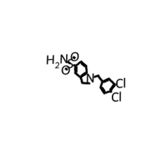 NS(=O)(=O)c1ccc2c(c1)CCN2Cc1ccc(Cl)c(Cl)c1